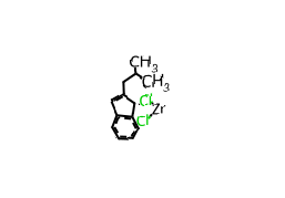 CC(C)CC1=Cc2ccccc2[CH]1.[Cl][Zr][Cl]